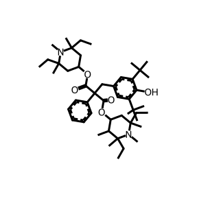 CCC1(C)CC(OC(=O)C(Cc2cc(C(C)(C)C)c(O)c(C(C)(C)C)c2)(C(=O)OC2CC(C)(CC)N(C)C(C)(CC)C2C)c2ccccc2)CC(C)(CC)N1C